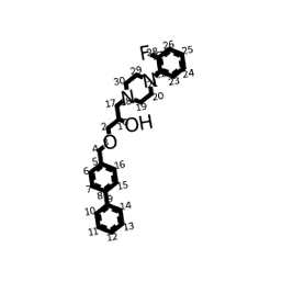 OC(COCc1ccc(-c2ccccc2)cc1)CN1CCN(c2ccccc2F)CC1